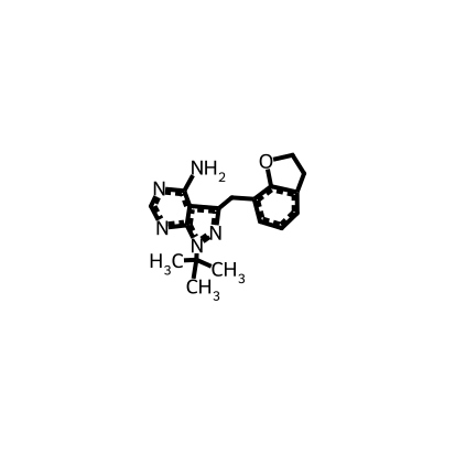 CC(C)(C)n1nc(Cc2cccc3c2OCC3)c2c(N)ncnc21